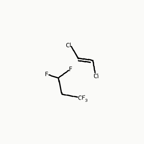 ClC=CCl.FC(F)CC(F)(F)F